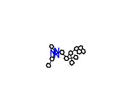 c1ccc(-c2ccc(-c3nc(-c4ccccc4)nc(-c4cccc(-c5cccc6c5-c5ccc(-c7ccc8ccc9cccc%10ccc7c8c9%10)cc5C6(c5ccccc5)c5ccccc5)c4)n3)cc2)cc1